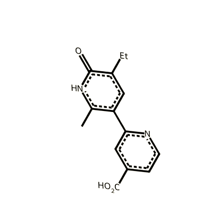 CCc1cc(-c2cc(C(=O)O)ccn2)c(C)[nH]c1=O